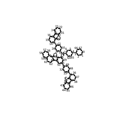 c1ccc(-c2ccc(N(c3ccc(-c4cccc5c4oc4ccccc45)cc3)c3cc(-c4ccc(-c5cccc6c5sc5ccccc56)cc4)cc4c3oc3c5ccccc5ccc43)cc2)cc1